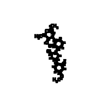 COCC(C(=O)N(C)C)n1cccc(N2C[C@@H](c3ccc(OC)cc3F)CC2=O)c1=O